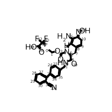 CCOC(=O)N[C@@H](CC1=CCC(=NO)C(N)=C1C)C(=O)NCc1ccc(-c2ccccc2C#N)cc1.O=C(O)C(F)(F)F